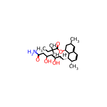 CCC(C)(C)C(=O)O[C@H]1C[C@@H](C)C=C2C=C[C@H](C)[C@H](CCC(O)CC(O)CC(N)=O)[C@H]21